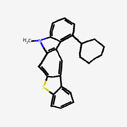 Cn1c2cc3sc4ccccc4c3cc2c2c(C3CCCCC3)cccc21